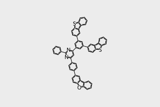 c1ccc(-c2nc(-c3ccc(-c4ccc5oc6ccccc6c5c4)cc3)cc(-c3cc(-c4ccc5sc6ccccc6c5c4)cc(-c4ccc5sc6ccccc6c5c4)c3)n2)cc1